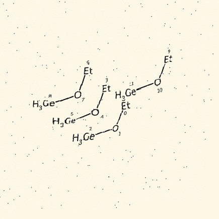 CC[O][GeH3].CC[O][GeH3].CC[O][GeH3].CC[O][GeH3]